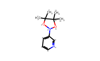 CC1(C)ON(c2cccnc2)OC1(C)C